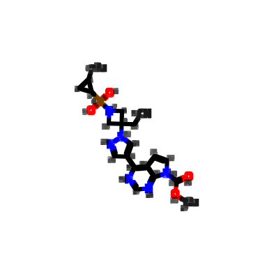 CCCCC1CC1S(=O)(=O)N1CC(CC#N)(n2cc(-c3ncnc4c3ccn4C(=O)OC(C)(C)C)cn2)C1